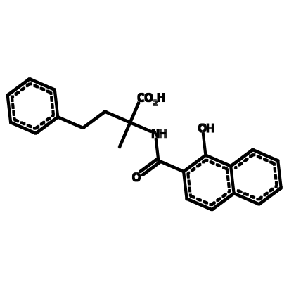 CC(CCc1ccccc1)(NC(=O)c1ccc2ccccc2c1O)C(=O)O